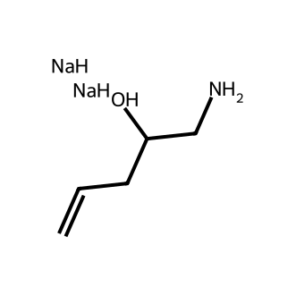 C=CCC(O)CN.[NaH].[NaH]